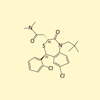 CN(C)C(=O)C[C@H]1S[C@H](c2ccccc2Cl)c2cc(Cl)ccc2N(CC(C)(C)C)C1=O